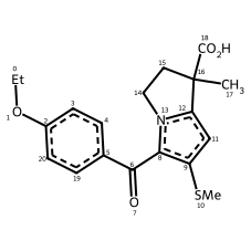 CCOc1ccc(C(=O)c2c(SC)cc3n2CCC3(C)C(=O)O)cc1